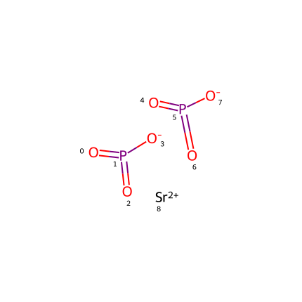 O=P(=O)[O-].O=P(=O)[O-].[Sr+2]